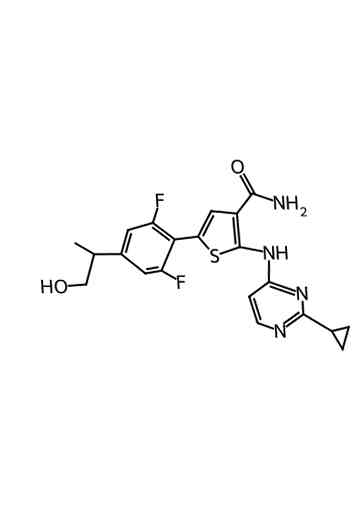 CC(CO)c1cc(F)c(-c2cc(C(N)=O)c(Nc3ccnc(C4CC4)n3)s2)c(F)c1